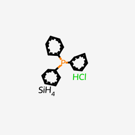 Cl.[SiH4].c1ccc(P(c2ccccc2)c2ccccc2)cc1